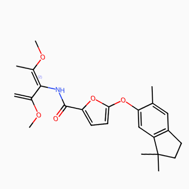 C=C(OC)/C(NC(=O)c1ccc(Oc2cc3c(cc2C)CCC3(C)C)o1)=C(\C)OC